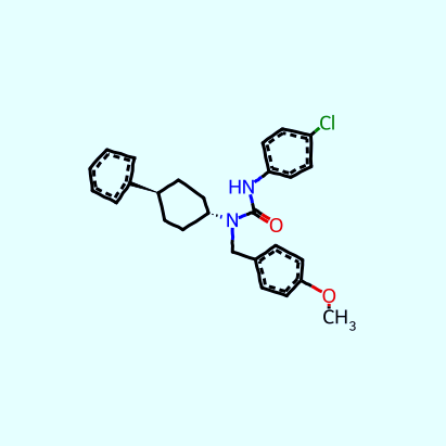 COc1ccc(CN(C(=O)Nc2ccc(Cl)cc2)[C@H]2CC[C@H](c3ccccc3)CC2)cc1